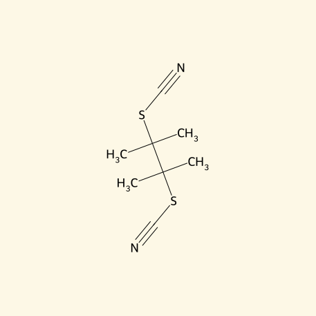 CC(C)(SC#N)C(C)(C)SC#N